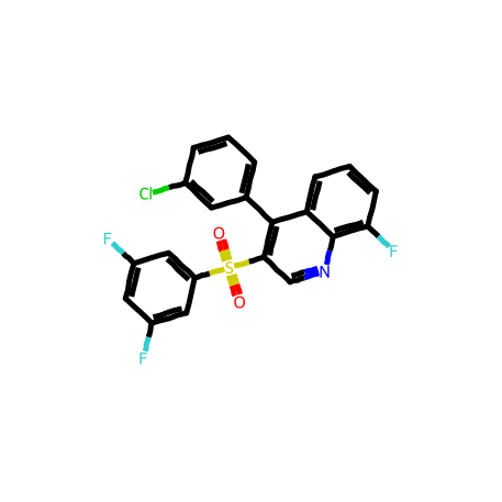 O=S(=O)(c1cc(F)cc(F)c1)c1cnc2c(F)cccc2c1-c1cccc(Cl)c1